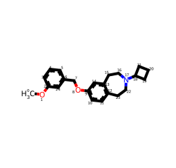 COc1cccc(COc2ccc3c(c2)CCN(C2CCC2)CC3)c1